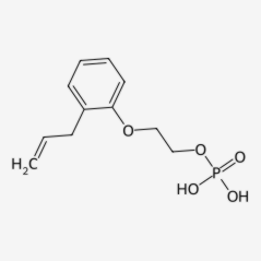 C=CCc1ccccc1OCCOP(=O)(O)O